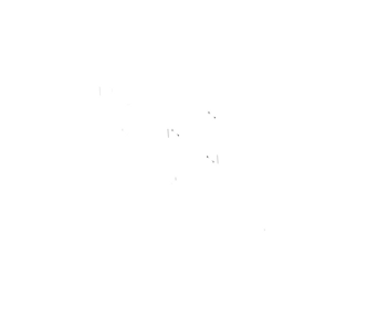 O=C(Nc1nc2cccc(C(=O)O)c2[nH]1)c1cccc(Cl)c1